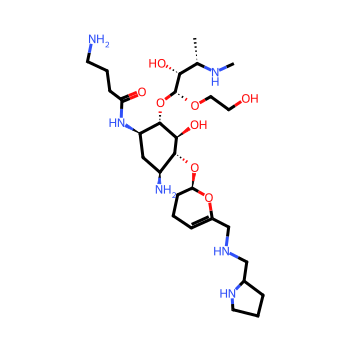 CN[C@@H](C)[C@@H](O)[C@H](OCCO)O[C@@H]1[C@@H](O)[C@H](O[C@@H]2CCC=C(CNCC3CCCN3)O2)[C@@H](N)C[C@H]1NC(=O)CCCN